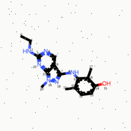 CCNc1ncc2c(Nc3c(C)ccc(O)c3C)nn(C)c2n1